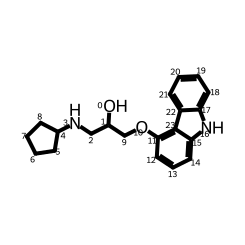 OC(CNC1CCCC1)COc1cccc2[nH]c3ccccc3c12